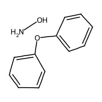 NO.c1ccc(Oc2ccccc2)cc1